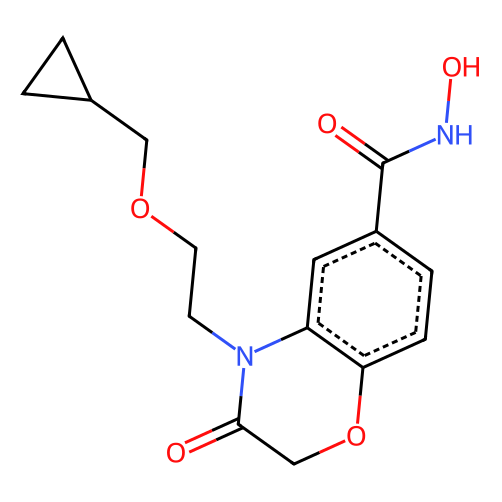 O=C(NO)c1ccc2c(c1)N(CCOCC1CC1)C(=O)CO2